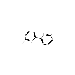 Clc1cccc(-c2cccc(Cl)n2)n1